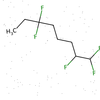 CCC(F)(F)CCCC(F)[C](F)F